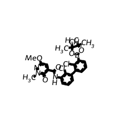 COc1cc(C(=O)Nc2cccc(-c3cccc(B4OC(C)(C)C(C)(C)O4)c3Cl)c2Cl)c(=O)n(C)n1